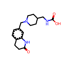 O=C(O)NCC1CCN(Cc2ccc3c(c2)NC(=O)CC3)CC1